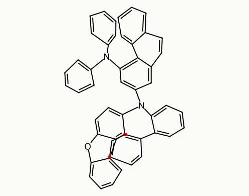 c1ccc(-c2ccccc2N(c2cc(N(c3ccccc3)c3ccccc3)c3c(ccc4ccccc43)c2)c2ccc3oc4ccccc4c3c2)cc1